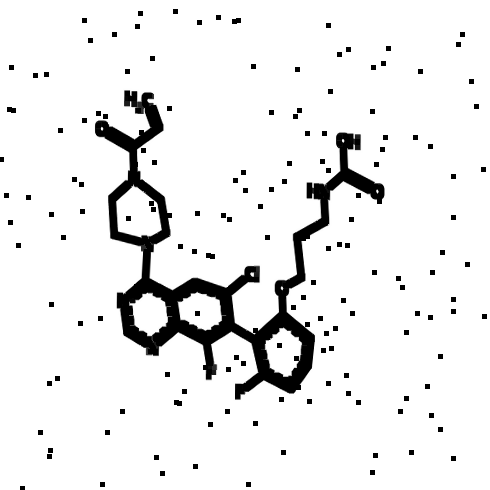 C=CC(=O)N1CCN(c2ncnc3c(F)c(-c4c(F)cccc4OCCCNC(=O)O)c(Cl)cc23)CC1